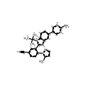 Cc1ccnn1-c1ccc(C#N)cc1-c1nc2cc(-c3cnc(N)nc3)ccc2n1C(C)(C)C